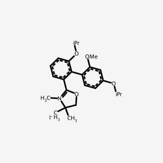 COc1cc(OC(C)C)ccc1-c1c(OC(C)C)cccc1C1=[N+](C)C(C)(C)CO1.[I-]